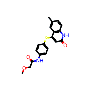 COCC(=O)Nc1ccc(Sc2cc(=O)[nH]c3ccc(C)cc23)cc1